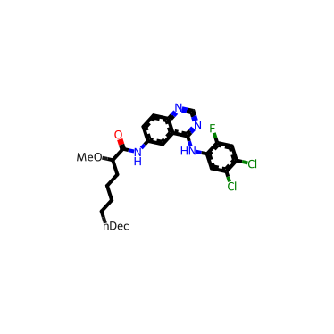 CCCCCCCCCCCCCCC(OC)C(=O)Nc1ccc2ncnc(Nc3cc(Cl)c(Cl)cc3F)c2c1